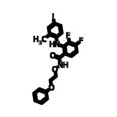 Cc1cc(I)ccc1Nc1c(C(=O)NOCCOc2ccccc2)ccc(F)c1F